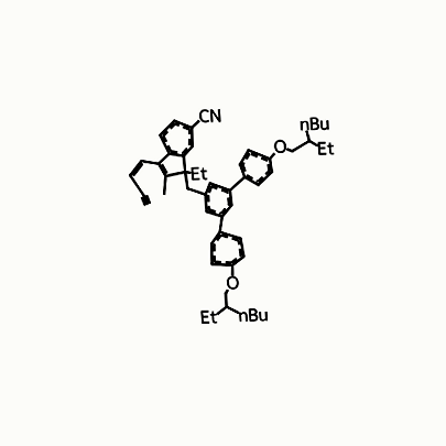 C#C/C=C\C1=C(C)C(CC)(Cc2cc(-c3ccc(OCC(CC)CCCC)cc3)cc(-c3ccc(OCC(CC)CCCC)cc3)c2)c2cc(C#N)ccc21